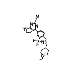 CCN1CCC(COCc2ccc(-c3nc(C#N)nc4c3ccn4C)cc2C(F)(F)F)CC1